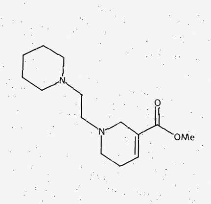 COC(=O)C1=CCCN(CCN2CCCCC2)C1